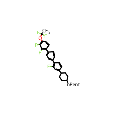 CCCCCC1CCC(c2ccc(-c3ccc(-c4ccc(OC(F)(F)C(F)(F)F)c(F)c4F)cc3)c(F)c2)CC1